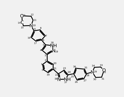 c1cc(-c2cc(-c3ccc(N4CCOCC4)cc3)[nH]n2)cc(-c2cc(-c3ccc(N4CCOCC4)cc3)[nH]n2)c1